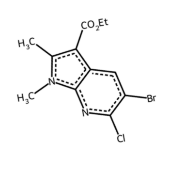 CCOC(=O)c1c(C)n(C)c2nc(Cl)c(Br)cc12